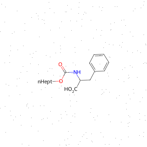 CCCCCCCOC(=O)NC(Cc1ccccc1)C(=O)O